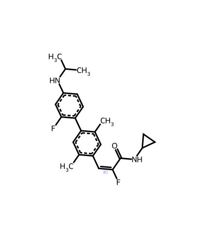 Cc1cc(-c2ccc(NC(C)C)cc2F)c(C)cc1/C=C(/F)C(=O)NC1CC1